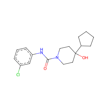 O=C(Nc1cccc(Cl)c1)N1CCC(O)(C2CCCC2)CC1